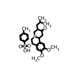 COc1cc2c(cc1OC)C1CC(=O)C(CC(C)C)CN1CC2.Cc1ccc(S(=O)(=O)O)cc1